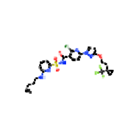 CCCCNc1cccc(S(=O)(=O)NC(=O)c2ccc(-n3ccc(OCCC4(C(F)(F)F)CC4)n3)nc2Cl)n1